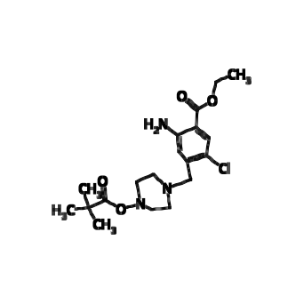 CCOC(=O)c1cc(Cl)c(CN2CCN(OC(=O)C(C)(C)C)CC2)cc1N